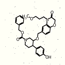 COCCCN1C(=O)COc2ccc(COC3CN(C(=O)OCc4ccccc4)CCC3c3ccc(O)cc3)cc21